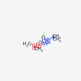 C=CCOC(=O)C1(C)COC(c2nc(-c3ccc(F)cc3)c(-c3ccnc(NCCN(C)C)n3)[nH]2)OC1